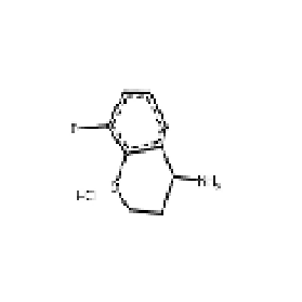 Cl.NC1CCOc2c(F)cccc21